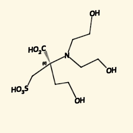 O=C(O)[C@](CCO)(CS(=O)(=O)O)N(CCO)CCO